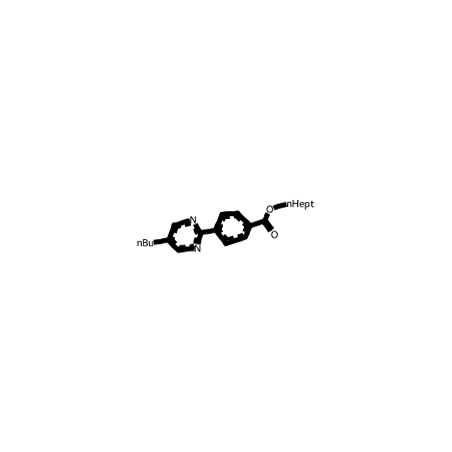 CCCCCCCOC(=O)c1ccc(-c2ncc(CCCC)cn2)cc1